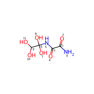 NC(=O)C(=O)NC(O)(O)C(O)O